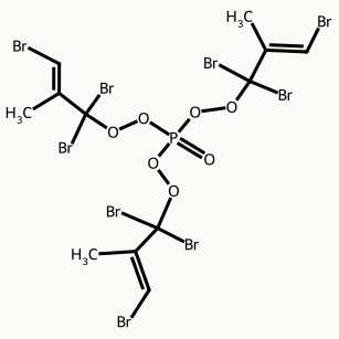 C/C(=C\Br)C(Br)(Br)OOP(=O)(OOC(Br)(Br)/C(C)=C/Br)OOC(Br)(Br)/C(C)=C/Br